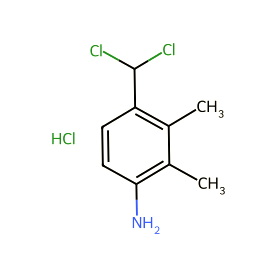 Cc1c(N)ccc(C(Cl)Cl)c1C.Cl